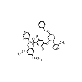 COc1ccc(CN(c2ccncn2)S(=O)(=O)c2cc(F)c(OC3CC(OCc4ccccc4)CCC3c3ccnn3C)cc2F)c(OC)c1